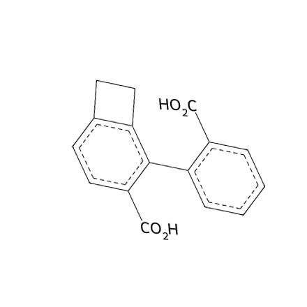 O=C(O)c1ccccc1-c1c(C(=O)O)ccc2c1CC2